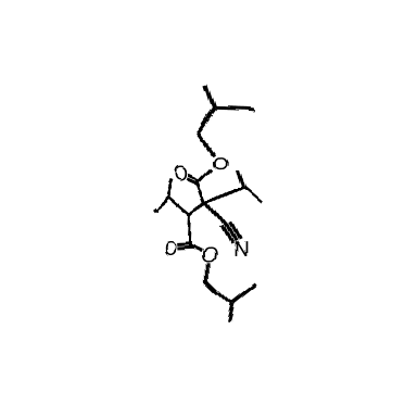 CC(C)COC(=O)C(C(C)C)C(C#N)(C(=O)OCC(C)C)C(C)C